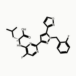 CC(C)C[C@@H](Nc1nc(-c2cc(-c3ccon3)n(Cc3ccccc3F)n2)ncc1F)C(=O)O